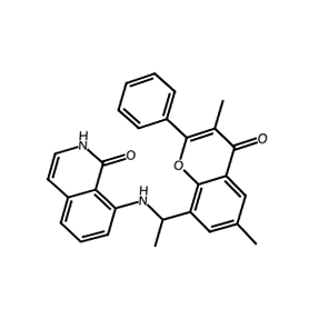 Cc1cc(C(C)Nc2cccc3cc[nH]c(=O)c23)c2oc(-c3ccccc3)c(C)c(=O)c2c1